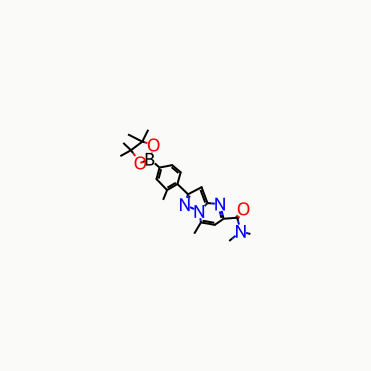 Cc1cc(B2OC(C)(C)C(C)(C)O2)ccc1-c1cc2nc(C(=O)N(C)C)cc(C)n2n1